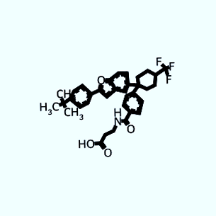 CC(C)(C)c1ccc(-c2cc3cc(C4(c5ccc(C(=O)NCCC(=O)O)cc5)CCC(C(F)(F)F)CC4)ccc3o2)cc1